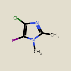 Cc1nc(Cl)c(I)n1C